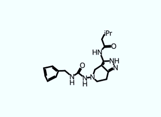 CC(C)CC(=O)Nc1[nH]nc2c1CN(NC(=O)NCc1ccccc1)CC2